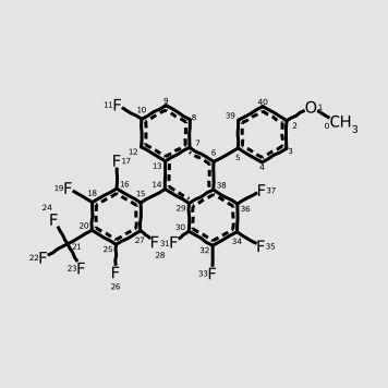 COc1ccc(-c2c3ccc(F)cc3c(-c3c(F)c(F)c(C(F)(F)F)c(F)c3F)c3c(F)c(F)c(F)c(F)c23)cc1